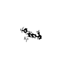 Cc1nc2nc(-c3ncccc3C#N)ccc2c2c1Oc1cc(C(F)(F)F)ccc1N2